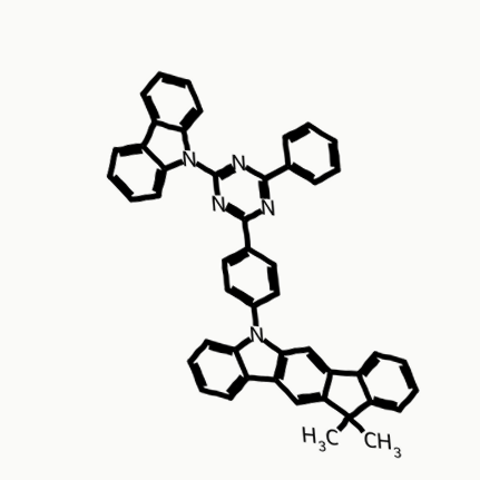 CC1(C)c2ccccc2-c2cc3c(cc21)c1ccccc1n3-c1ccc(-c2nc(-c3ccccc3)nc(-n3c4ccccc4c4ccccc43)n2)cc1